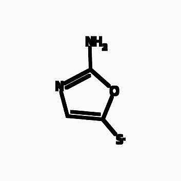 Nc1ncc([S])o1